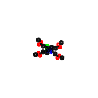 O=C(Oc1ccccc1)c1ccc(C2=NC(c3ccccc3Cl)(C3(c4ccccc4Cl)N=C(c4ccc(C(=O)Oc5ccccc5)cc4)C(c4ccc(C(=O)Oc5ccccc5)cc4)=N3)N=C2c2ccc(C(=O)Oc3ccccc3)cc2)cc1